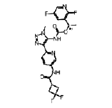 C[C@@H](OC(=O)Nc1c(-c2ccc(NC(=O)C3CC(F)(F)C3)cn2)nnn1C)c1cc(F)cnc1F